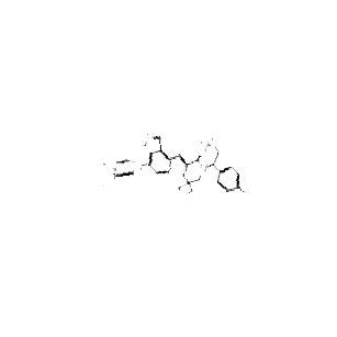 Cc1cn(-c2ccc(/C=C3\CC4(CSC4)CN4C3=NNCC4c3ccc(F)cc3)c3cnsc23)cn1